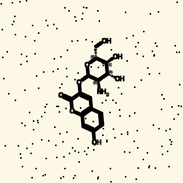 N[C@H]1C(Oc2cc3ccc(O)cc3oc2=O)O[C@H](CO)[C@@H](O)[C@@H]1O